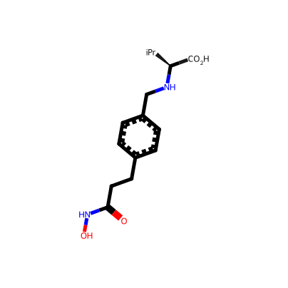 CC(C)[C@H](NCc1ccc(CCC(=O)NO)cc1)C(=O)O